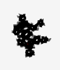 Cc1c(-n2c3ccc(-c4ncccn4)cc3c3cc(-c4ncccn4)ccc32)c(-n2c3ccccc3c3ccccc32)c(C#N)c(-n2c3ccccc3c3ccccc32)c1-n1c2ccc(-c3ncccn3)cc2c2cc(-c3ncccn3)ccc21